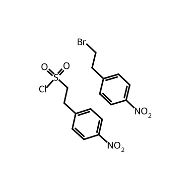 O=[N+]([O-])c1ccc(CCBr)cc1.O=[N+]([O-])c1ccc(CCS(=O)(=O)Cl)cc1